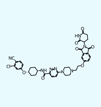 N#Cc1ccc(O[C@H]2CC[C@H](NC(=O)c3ccc(N4CCN(CCOc5ccc6c(c5)C(=O)N(C5CCC(=O)NC5=O)C6=O)CC4)nn3)CC2)cc1Cl